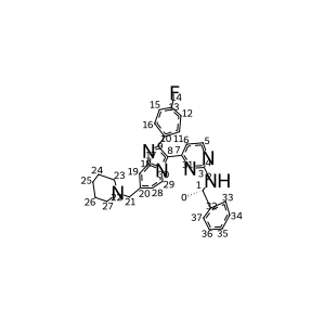 C[C@H](Nc1nccc(-c2c(-c3ccc(F)cc3)nc3cc(CN4CCCCC4)ccn23)n1)c1ccccc1